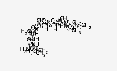 C=CCOC(=O)c1cc(NC(=O)c2cc(NC(=O)CCNC(=O)c3cc(NC(=O)c4cc(NC(=O)[C@H](CCN)NC(=O)OC(C)(C)C)cn4C)cn3C)cn2C)cn1C